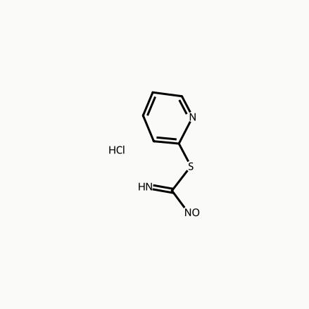 Cl.N=C(N=O)Sc1ccccn1